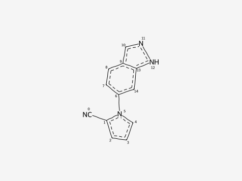 N#Cc1cccn1-c1ccc2cn[nH]c2c1